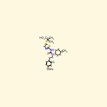 COc1ccc(CCN(C(=O)NC2=NCC(SC(C)(C)C(=O)O)S2)[C@H]2CC[C@H](C)CC2)c(F)c1